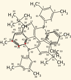 Cc1cc(C)cc(P(c2cc(C)cc(C)c2)c2cc([Si](C)(C)C)c3ccccc3c2-c2c(P(c3cc(C)cc(C)c3)c3cc(C)cc(C)c3)cc([Si](C)(C)C)c3ccccc23)c1